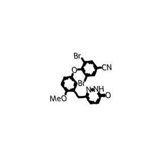 COc1ccc(Oc2c(Br)cc(C#N)cc2Br)cc1Cc1ccc(=O)[nH]n1